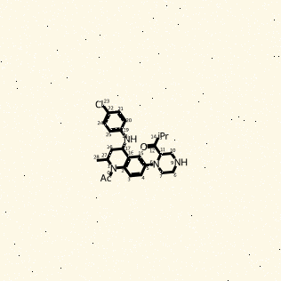 CC(=O)N1c2ccc(N3CCNCC3C(=O)C(C)C)cc2C(Nc2ccc(Cl)cc2)CC1C